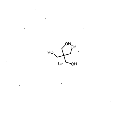 OCC(CO)(CO)CO.[La]